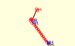 C=CN(CCOCCOCCOCCOCCOCCOCCOCCOCCOCCOCCOCCNC(=O)CC[C@H](NC(=O)CCCCCCCCCCCCCCCCC(=O)O)C(=O)O)N=N